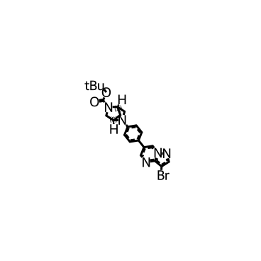 CC(C)(C)OC(=O)N1C[C@@H]2C[C@H]1CN2c1ccc(-c2cnc3c(Br)cnn3c2)cc1